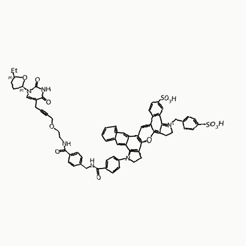 CC[C@@H]1CC[C@H](n2cc(CC#CCOCCNC(=O)c3ccc(CNC(=O)c4ccc(N5CCc6c7c(c8cc9ccccc9cc8c65)C=c5c(c6c(c8cc(S(=O)(=O)O)ccc58)=[N+](Cc5ccc(S(=O)(=O)O)cc5)CC6)O7)cc4)cc3)c(=O)[nH]c2=O)O1